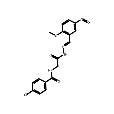 COc1ccc(N=O)cc1/C=N/NC(=O)CNC(=O)c1ccc(Cl)cc1